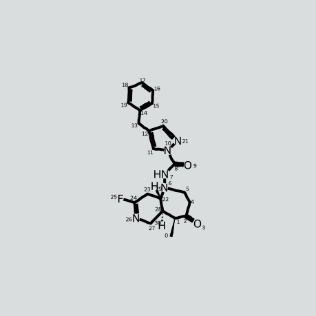 C[C@@H]1C(=O)CCN(NC(=O)n2cc(Cc3ccccc3)cn2)[C@H]2CC(F)=NC[C@H]12